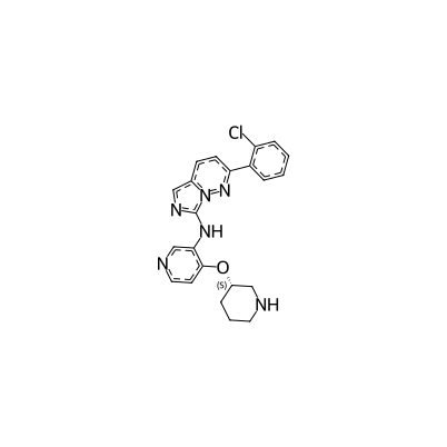 Clc1ccccc1-c1ccc2cnc(Nc3cnccc3O[C@H]3CCCNC3)n2n1